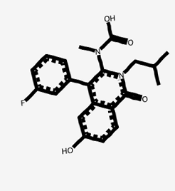 CC(C)Cn1c(N(C)C(=O)O)c(-c2cccc(F)c2)c2cc(O)ccc2c1=O